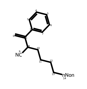 C=C(c1[c]cccc1)C(C#N)CCCCCCCCCCCCC